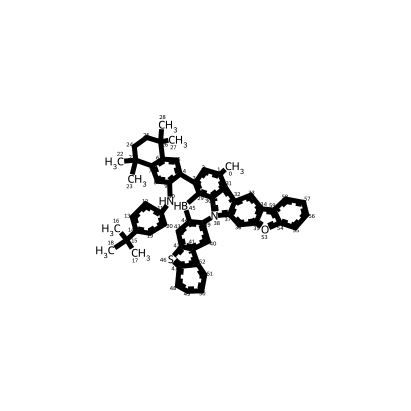 Cc1cc(-c2cc3c(cc2Nc2ccc(C(C)(C)C)cc2)C(C)(C)CCC3(C)C)c2c3c1c1cc4c(cc1n3-c1cc3c(cc1B2)sc1ccccc13)oc1ccccc14